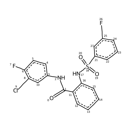 O=C(Nc1ccc(F)c(Cl)c1)c1ccccc1NS(=O)(=O)c1cccc(F)c1